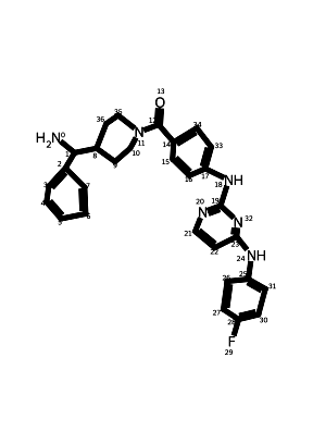 NC(c1ccccc1)C1CCN(C(=O)c2ccc(Nc3nccc(Nc4ccc(F)cc4)n3)cc2)CC1